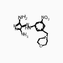 NC1=NN=C(N)C1=NNc1cc(CN2CCOCC2)cc([N+](=O)[O-])c1